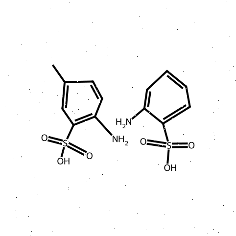 Cc1ccc(N)c(S(=O)(=O)O)c1.Nc1ccccc1S(=O)(=O)O